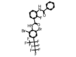 O=C(Nc1cccc(C(=O)Nc2c(Br)cc(C(F)(C(F)(F)F)C(F)(F)C(F)(F)F)cc2Br)c1F)c1ccccc1